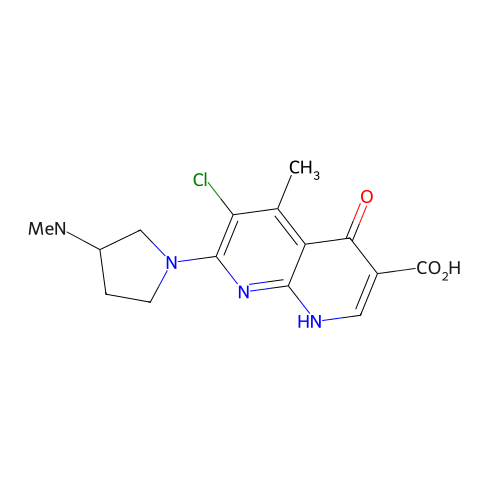 CNC1CCN(c2nc3[nH]cc(C(=O)O)c(=O)c3c(C)c2Cl)C1